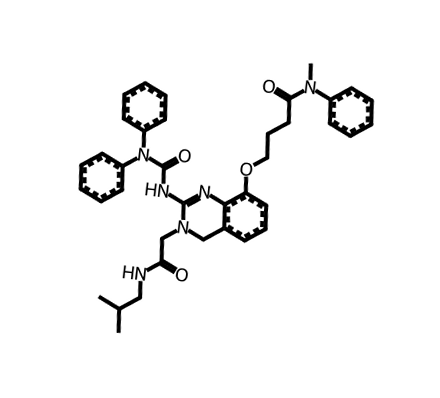 CC(C)CNC(=O)CN1Cc2cccc(OCCCC(=O)N(C)c3ccccc3)c2N=C1NC(=O)N(c1ccccc1)c1ccccc1